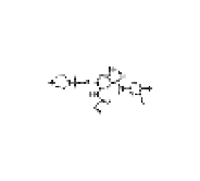 C=CC(=O)Nc1cc2c(N(C)c3ccc(F)c(Cl)c3)ncnc2cc1C#CC(C)(C)N1CCN(C)CC1